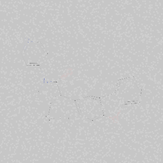 CN(O)C1=C(c2ccc3oc4ccccc4c3c2)C(=O)N(c2ccncc2)C1